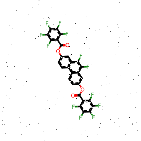 O=C(Oc1ccc2c(c1)c(F)c(F)c1cc(OC(=O)c3c(F)c(F)c(F)c(F)c3F)ccc12)c1c(F)c(F)c(F)c(F)c1F